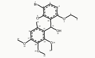 CCOc1ncc(Br)c(Cl)c1C(O)c1c(C)cc(OC)c(OC)c1OC